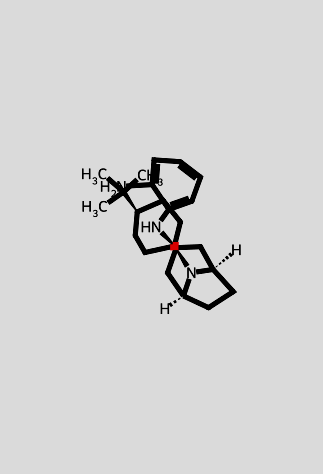 CC(C)(C)[C@H]1CC[C@@H](N2[C@@H]3CC[C@H]2C[C@@H](Nc2ccccc2N)C3)CC1